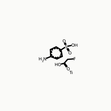 Nc1ccc(S(=O)(=O)O)cc1.O=C(O)CF.[Ti]